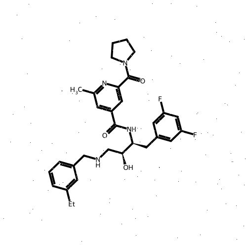 CCc1cccc(CNC[C@H](O)[C@H](Cc2cc(F)cc(F)c2)NC(=O)c2cc(C)nc(C(=O)N3CCCC3)c2)c1